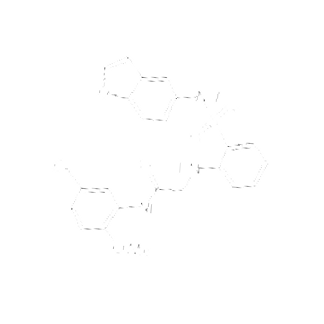 COc1ccc(Cl)cc1NC(=O)CNc1ccccc1S(=O)(=O)Nc1ccc2occc2c1